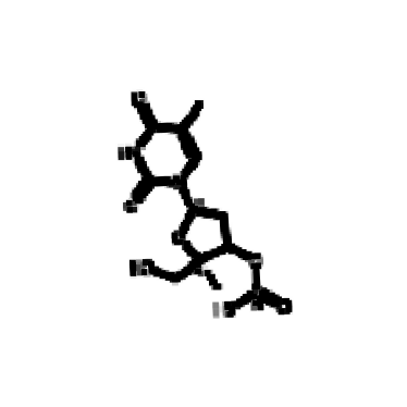 Cc1cn([C@H]2CC(O[PH](=O)S)[C@@](C)(CO)O2)c(=O)[nH]c1=O